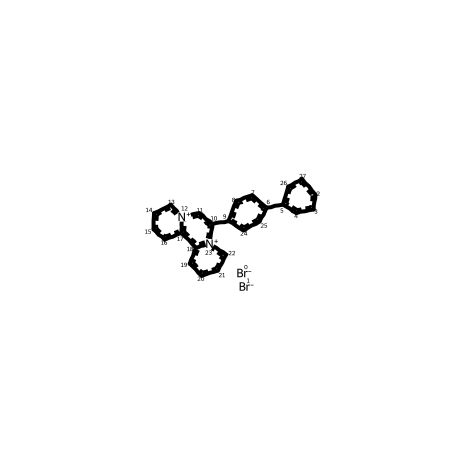 [Br-].[Br-].c1ccc(-c2ccc(-c3c[n+]4ccccc4c4cccc[n+]34)cc2)cc1